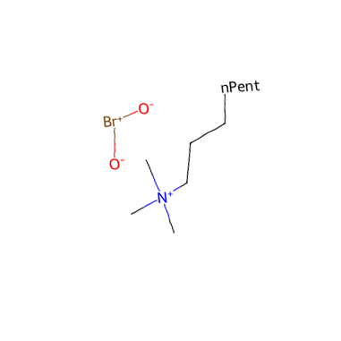 CCCCCCCC[N+](C)(C)C.[O-][Br+][O-]